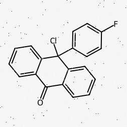 O=C1c2ccccc2C(Cl)(c2ccc(F)cc2)c2ccccc21